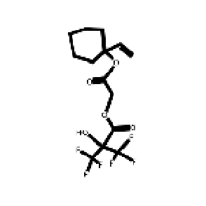 C=CC1(OC(=O)COC(=O)C(O)(C(F)(F)F)C(F)(F)F)CCCCC1